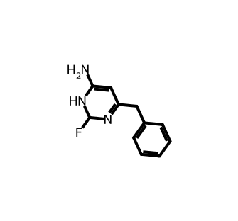 NC1=CC(Cc2ccccc2)=NC(F)N1